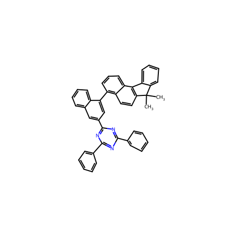 CC1(C)c2ccccc2-c2c1ccc1c(-c3cc(-c4nc(-c5ccccc5)nc(-c5ccccc5)n4)cc4ccccc34)cccc21